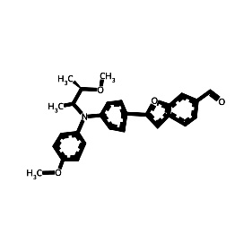 COc1ccc(N(c2ccc(-c3cc4ccc(C=O)cc4o3)cc2)C(C)[C@@H](C)OC)cc1